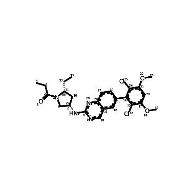 CCC(=O)N1C[C@@H](Nc2ncc3cc(-c4c(Cl)c(OC)cc(OC)c4Cl)ccc3n2)C[C@H]1CC